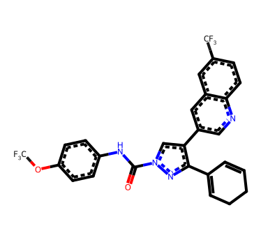 O=C(Nc1ccc(OC(F)(F)F)cc1)n1cc(-c2cnc3ccc(C(F)(F)F)cc3c2)c(C2=CCCC=C2)n1